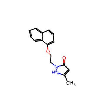 Cc1cc(=O)n(CCOc2cccc3ccccc23)[nH]1